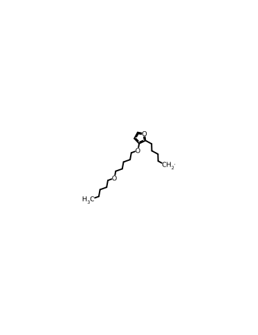 [CH2]CCCCc1occc1OCCCCCOCCCCC